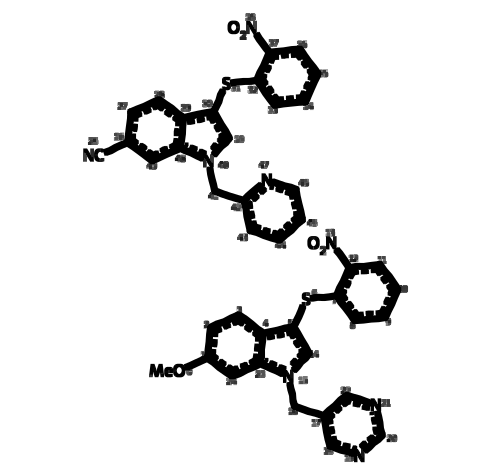 COc1ccc2c(Sc3ccccc3[N+](=O)[O-])cn(Cc3cncnc3)c2c1.N#Cc1ccc2c(Sc3ccccc3[N+](=O)[O-])cn(Cc3ccccn3)c2c1